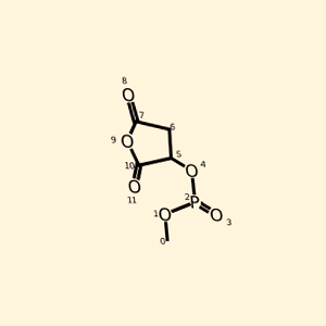 CO[P](=O)OC1CC(=O)OC1=O